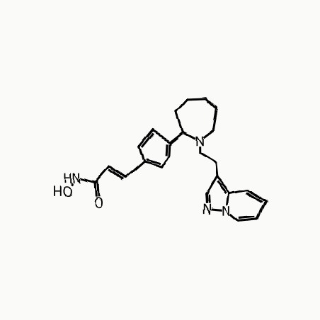 O=C(C=Cc1ccc(C2CCCCCN2CCc2cnn3ccccc23)cc1)NO